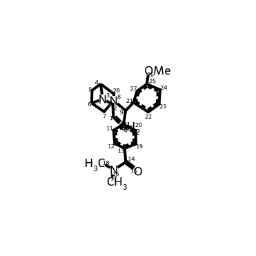 C=CCN1C2CC1CN(C(c1ccc(C(=O)N(C)C)cc1)c1cccc(OC)c1)C2